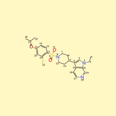 CCn1cc(C2CCN(S(=O)(=O)c3ccc(OC(C)C)cc3F)CC2)c2ccncc21